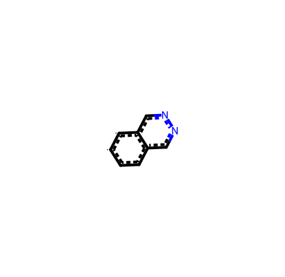 [c]1[c]c2cnncc2cc1